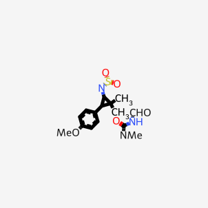 CNC(=O)NC=O.COc1ccc(C2C(N=S(=O)=O)C2(C)C)cc1